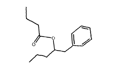 CCCC(=O)OC(CCC)Cc1ccccc1